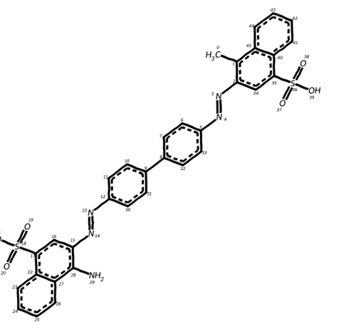 Cc1c(/N=N/c2ccc(-c3ccc(/N=N/c4cc(S(=O)(=O)O)c5ccccc5c4N)cc3)cc2)cc(S(=O)(=O)O)c2ccccc12